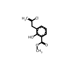 C=C(Cl)Cc1cccc(C(=O)OC)c1O